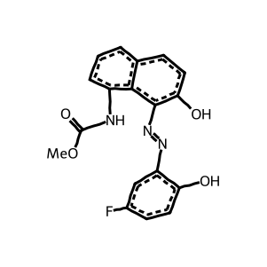 COC(=O)Nc1cccc2ccc(O)c(N=Nc3cc(F)ccc3O)c12